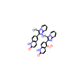 O.O=Nc1c(-c2ccc3[nH]c(=O)ccc3c2)nc2ccccn12.O=Nc1c(-c2ccc3[nH]c(=O)ccc3c2)nc2ccccn12